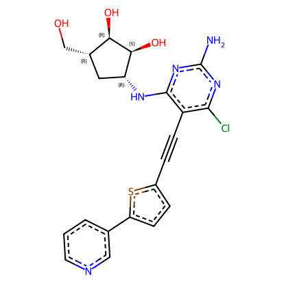 Nc1nc(Cl)c(C#Cc2ccc(-c3cccnc3)s2)c(N[C@@H]2C[C@H](CO)[C@@H](O)[C@H]2O)n1